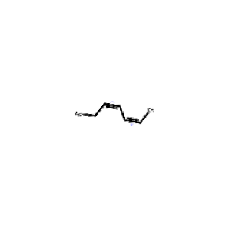 CC/C=C\C=C/CC(C)=O